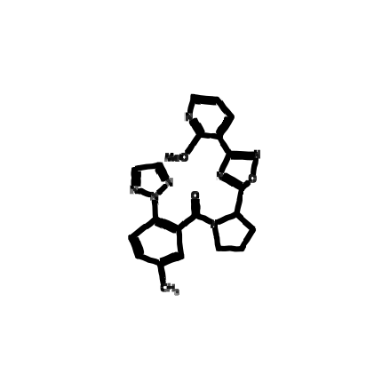 COc1ncccc1-c1noc(C2CCCN2C(=O)c2cc(C)ccc2-n2nccn2)n1